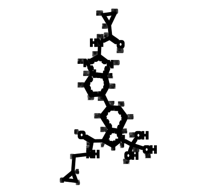 O=C(NCC1CC1)c1cn(C(O)(O)O)c2ccc(-c3ccn4nc(NC(=O)C5CC5)nc4c3)cc12